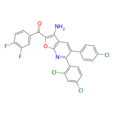 Nc1c(C(=O)c2ccc(F)c(F)c2)oc2nc(-c3ccc(Cl)cc3Cl)c(-c3ccc(Cl)cc3)cc12